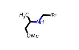 COCC(C)NCC(C)C